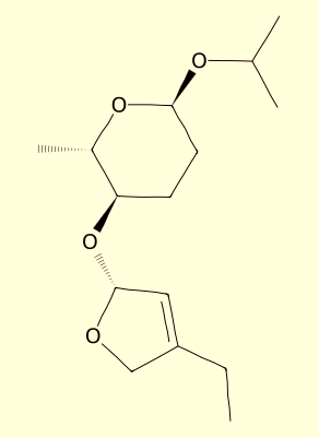 CCC1=C[C@@H](O[C@@H]2CC[C@H](OC(C)C)O[C@H]2C)OC1